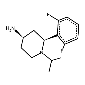 CC(C)N1CC[C@@H](N)C[C@H]1c1c(F)cccc1F